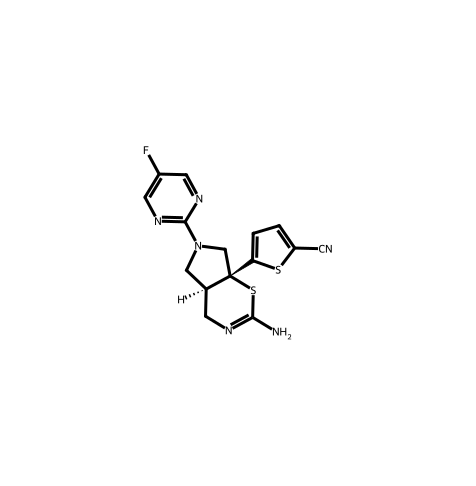 N#Cc1ccc([C@]23CN(c4ncc(F)cn4)C[C@@H]2CN=C(N)S3)s1